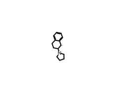 [CH]1c2ccccc2CCC1N1CCCC1